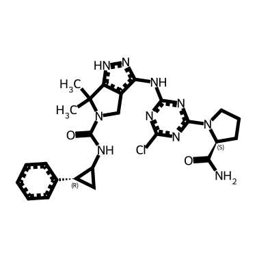 CC1(C)c2[nH]nc(Nc3nc(Cl)nc(N4CCC[C@H]4C(N)=O)n3)c2CN1C(=O)NC1C[C@@H]1c1ccccc1